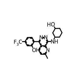 Cc1ccc2c(-c3ccc(C(F)(F)F)cc3O)nnc(NC3CCCC(O)C3)c2n1